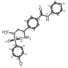 CN(CC(N)c1ccc(C(=O)Nc2ccncc2)cc1)S(=O)(=O)c1ccc(Cl)cc1